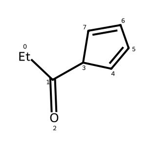 CCC(=O)C1C=CC=C1